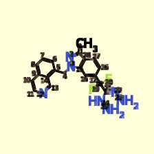 Cc1nn(Cc2cccc3ccncc23)c2cc(C(F)(F)/C(=N/N)NN)ccc12